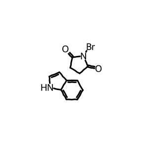 O=C1CCC(=O)N1Br.c1ccc2[nH]ccc2c1